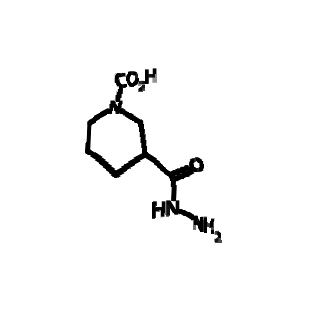 NNC(=O)C1CCCN(C(=O)O)C1